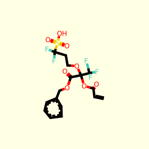 C=CC(=O)OC(OCCC(F)(F)S(=O)(=O)O)(C(=O)OCc1ccccc1)C(F)(F)F